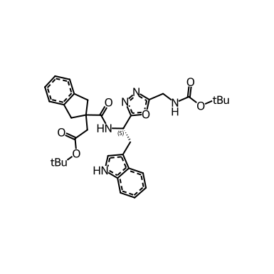 CC(C)(C)OC(=O)CC1(C(=O)N[C@@H](Cc2c[nH]c3ccccc23)c2nnc(CNC(=O)OC(C)(C)C)o2)Cc2ccccc2C1